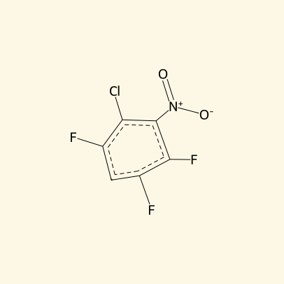 O=[N+]([O-])c1c(F)c(F)cc(F)c1Cl